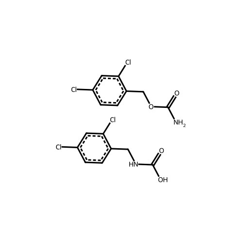 NC(=O)OCc1ccc(Cl)cc1Cl.O=C(O)NCc1ccc(Cl)cc1Cl